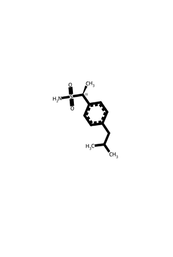 CC(C)Cc1ccc([C@H](C)S(N)(=O)=O)cc1